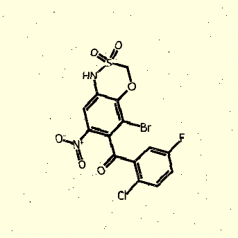 O=C(c1cc(F)ccc1Cl)c1c([N+](=O)[O-])cc2c(c1Br)OCS(=O)(=O)N2